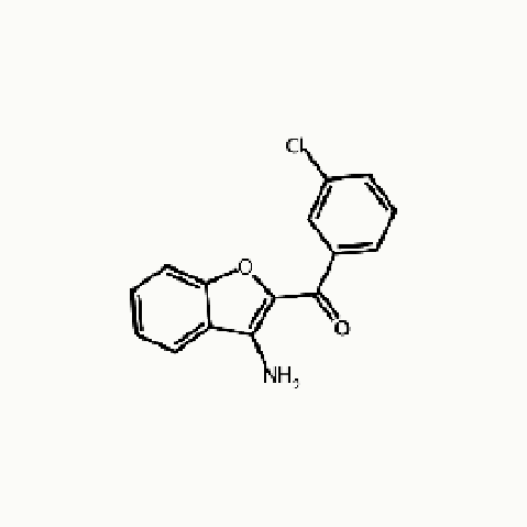 Nc1c(C(=O)c2cccc(Cl)c2)oc2ccccc12